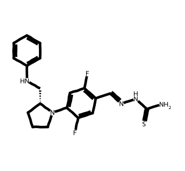 NC(=S)NN=Cc1cc(F)c(N2CCC[C@@H]2CNc2ccccc2)cc1F